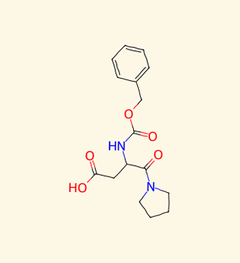 O=C(O)CC(NC(=O)OCc1ccccc1)C(=O)N1CCCC1